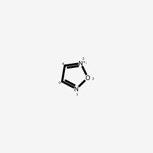 C1=NO[N+]=C1